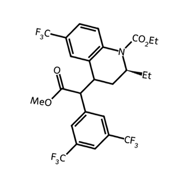 CCOC(=O)N1c2ccc(C(F)(F)F)cc2C(C(C(=O)OC)c2cc(C(F)(F)F)cc(C(F)(F)F)c2)C[C@@H]1CC